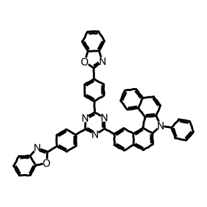 c1ccc(-n2c3ccc4ccccc4c3c3c4cc(-c5nc(-c6ccc(-c7nc8ccccc8o7)cc6)nc(-c6ccc(-c7nc8ccccc8o7)cc6)n5)ccc4ccc32)cc1